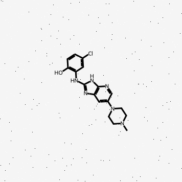 CN1CCN(c2cnc3[nH]c(Nc4cc(Cl)ccc4O)nc3c2)CC1